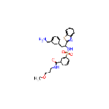 COCCCNC(=O)C1C=C(S(=O)(=O)NC(CC2C=CC=C(CN)C2)c2nc3ccccc3s2)C=CC1